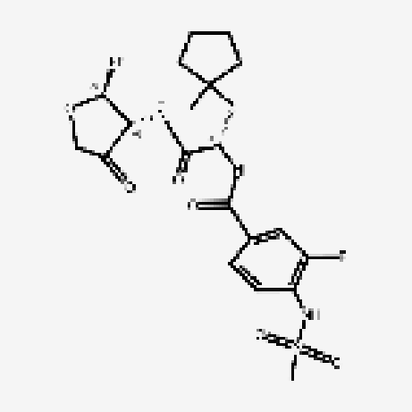 CC[C@@H]1OCC(=O)[C@H]1NC(=O)[C@H](CC1(C)CCCC1)NC(=O)c1ccc(NS(C)(=O)=O)c(F)c1